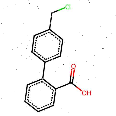 O=C(O)c1ccccc1-c1ccc(CCl)cc1